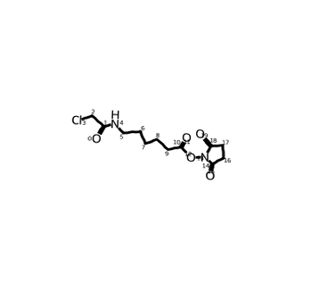 O=C(CCl)NCCCCCC(=O)ON1C(=O)CCC1=O